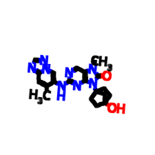 Cc1cc2ncnn2cc1Nc1ncc2c(n1)n(C13CCC(O)(CC1)C3)c(=O)n2C